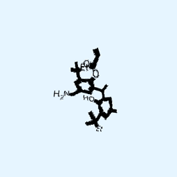 C=CC(=O)Oc1c(C(C)c2cc(C)cc(C(C)(C)CC)c2O)cc(CN)cc1C(C)(C)CC